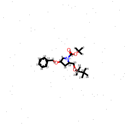 CC(C)(C)OC(=O)N1CC(OCc2ccccc2)CC1CO[Si](C)(C)C(C)(C)C